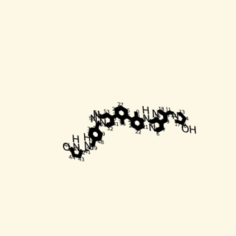 Cc1c(Nc2nccc3cc(CN4CC[C@@H](O)C4)cnc23)cccc1-c1cccc(-c2ccn3c(-c4ccc(CNC[C@@H]5CCC(=O)N5)cc4)nnc3c2)c1C